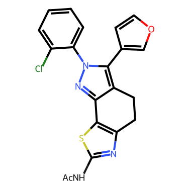 CC(=O)Nc1nc2c(s1)-c1nn(-c3ccccc3Cl)c(-c3ccoc3)c1CC2